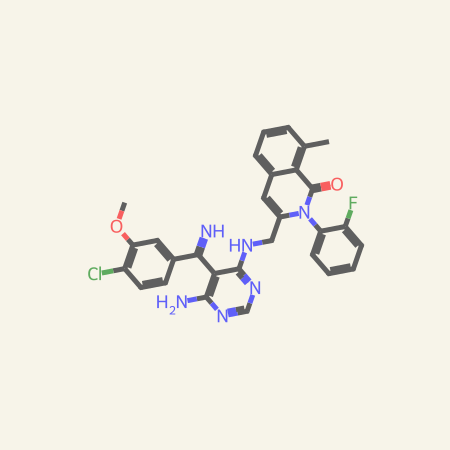 COc1cc(C(=N)c2c(N)ncnc2NCc2cc3cccc(C)c3c(=O)n2-c2ccccc2F)ccc1Cl